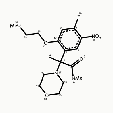 CNC(=O)C(C)(c1cc([N+](=O)[O-])c(F)cc1OCCOC)N1CCOCC1